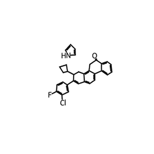 O=C1Cc2c(ccc3c2CC(C2CCC2)C(c2ccc(F)c(Cl)c2)=C3)-c2ccccc21.c1cc[nH]c1